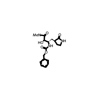 CNC(=O)C(O)[C@H](C[C@@H]1CCNC1=O)NC(=O)OCc1ccccc1